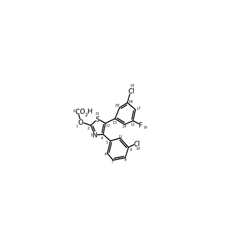 O=C(O)Oc1nc(-c2cccc(Cl)c2)c(-c2cc(F)cc(Cl)c2)s1